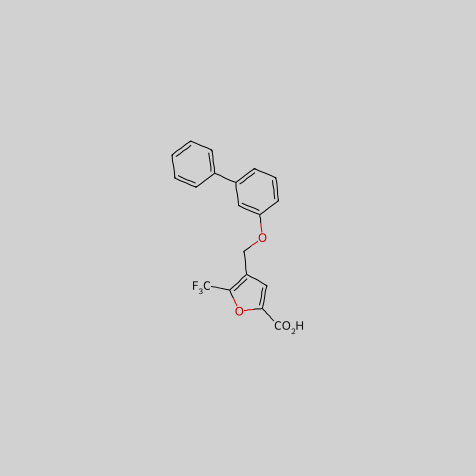 O=C(O)c1cc(COc2cccc(-c3ccccc3)c2)c(C(F)(F)F)o1